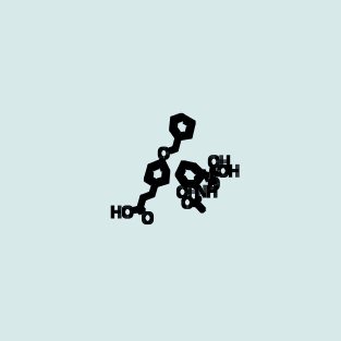 CC(=O)Nc1c(O)cccc1[As](=O)(O)O.O=C(O)CCc1ccc(OCc2ccccc2)cc1